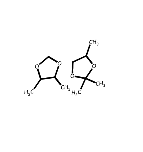 CC1COC(C)(C)O1.CC1OCOC1C